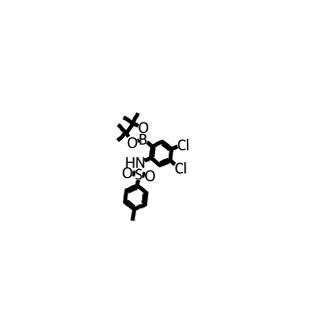 Cc1ccc(S(=O)(=O)Nc2cc(Cl)c(Cl)cc2B2OC(C)(C)C(C)(C)O2)cc1